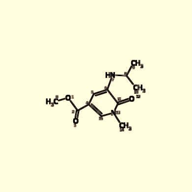 COC(=O)c1cc(NC(C)C)c(=O)n(C)c1